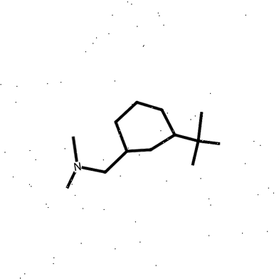 CN(C)CC1CCCC(C(C)(C)C)C1